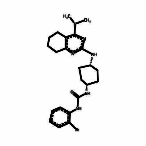 CN(C)c1nc(N[C@H]2CC[C@@H](NC(=O)Nc3ccccc3Br)CC2)nc2c1CCCC2